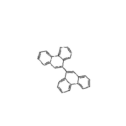 c1ccc2c(c1)cc(-c1cc3ccccc3c3ccccc13)c1ccccc12